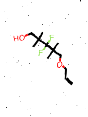 C=CCOCC(C)(C)C(F)(F)C(C)(C)CO